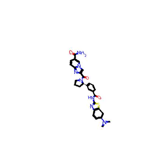 CN(C)[C@H]1CCc2nc(NC(=O)c3cccc([C@H]4CCCN4C(=O)c4cn5cc(C(N)=O)ccc5n4)c3)sc2C1